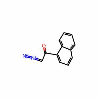 [N-]=[N+]=CC(=O)c1cccc2ccccc12